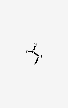 [3H]P(F)BBr